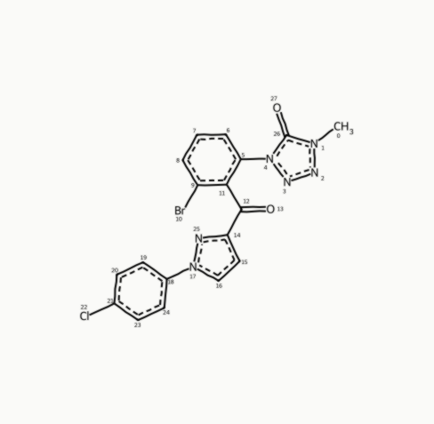 Cn1nnn(-c2cccc(Br)c2C(=O)c2ccn(-c3ccc(Cl)cc3)n2)c1=O